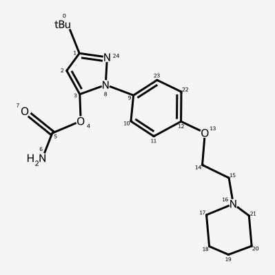 CC(C)(C)c1cc(OC(N)=O)n(-c2ccc(OCCN3CCCCC3)cc2)n1